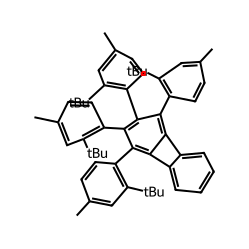 Cc1ccc(-c2c3c(c(-c4ccc(C)cc4C(C)(C)C)c(-c4ccc(C)cc4C(C)(C)C)c2-c2ccc(C)cc2C(C)(C)C)-c2ccccc2-3)c(C(C)(C)C)c1